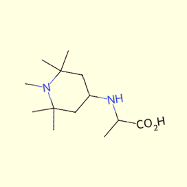 CC(NC1CC(C)(C)N(C)C(C)(C)C1)C(=O)O